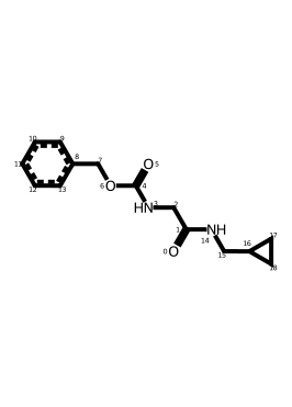 O=C(CNC(=O)OCc1ccccc1)NCC1CC1